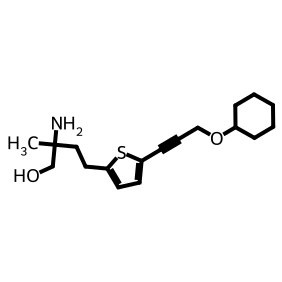 CC(N)(CO)CCc1ccc(C#CCOC2CCCCC2)s1